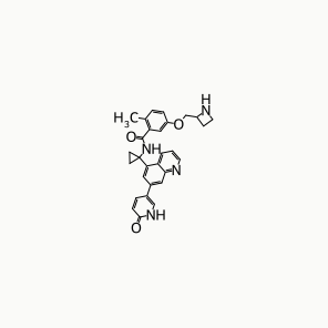 Cc1ccc(OCC2CCN2)cc1C(=O)NC1(c2cc(-c3ccc(=O)[nH]c3)cc3ncccc23)CC1